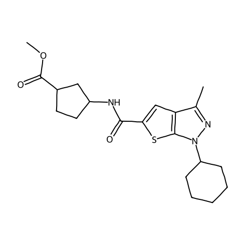 COC(=O)C1CCC(NC(=O)c2cc3c(C)nn(C4CCCCC4)c3s2)C1